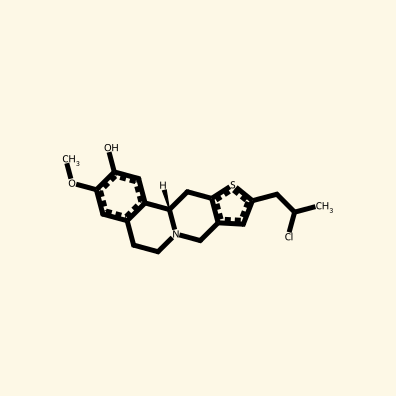 COc1cc2c(cc1O)[C@@H]1Cc3sc(CC(C)Cl)cc3CN1CC2